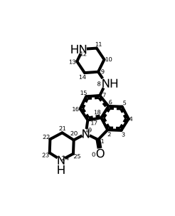 O=C1c2cccc3c(NC4CCNCC4)ccc(c23)N1C1CCCNC1